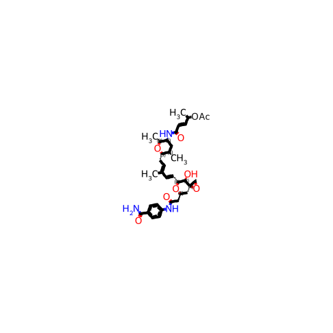 CC(=O)OC(C)C=CC(=O)N[C@@H]1C[C@H](C)[C@H](CC=C(C)C=C[C@H]2O[C@H](CC(=O)Nc3ccc(C(N)=O)cc3)C[C@@]3(CO3)[C@@H]2O)O[C@@H]1C